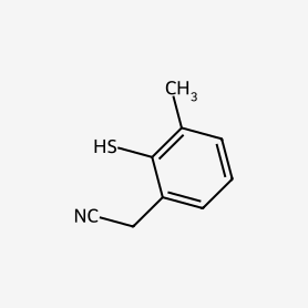 Cc1cccc(CC#N)c1S